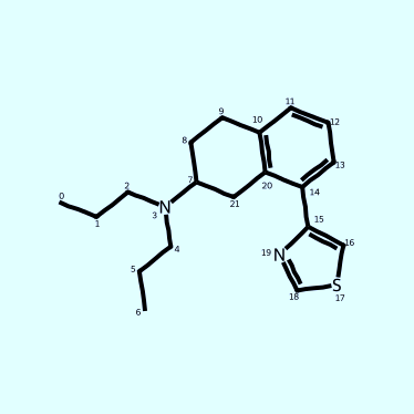 CCCN(CCC)C1CCc2cccc(-c3cscn3)c2C1